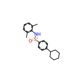 Cc1cccc(C)c1N[S@@+]([O-])c1ccc(C2CCCCC2)cc1